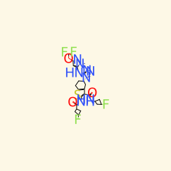 Cn1nc(OC(F)F)cc1Nc1nncn1[C@H]1CCc2sc(NC(=O)C3CC(F)C3)c(C(=O)N[C@H]3C[C@H](F)C3)c2C1